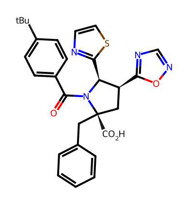 CC(C)(C)c1ccc(C(=O)N2[C@@H](c3nccs3)[C@@H](c3ncno3)C[C@@]2(Cc2ccccc2)C(=O)O)cc1